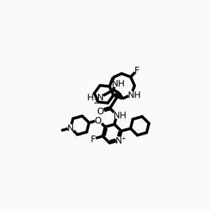 CN1CCC(OC2=C(F)C=[N+]=C(C3CCCCC3)C2NC(=O)C2C3=C4CCCCC4C(CC(F)CN3)NC2N)CC1